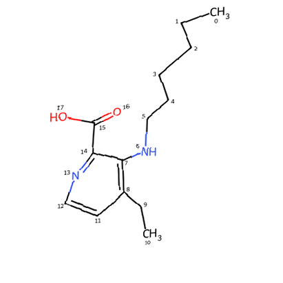 CCCCCCNc1c(CC)ccnc1C(=O)O